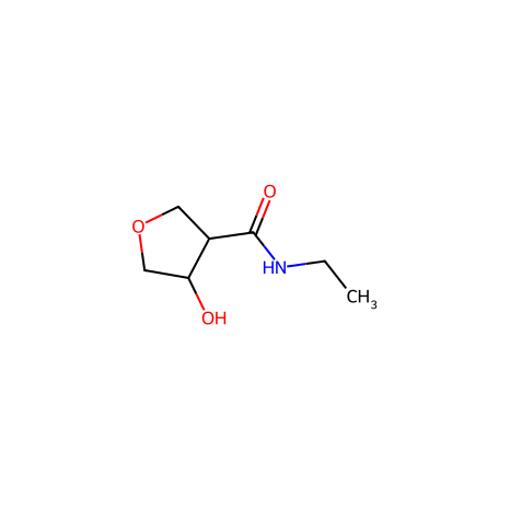 CCNC(=O)C1COCC1O